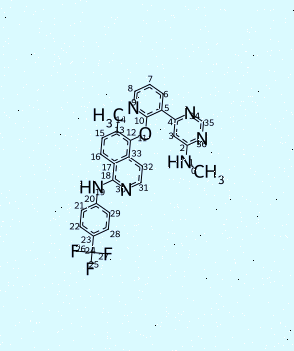 CNc1cc(-c2cccnc2Oc2c(C)ccc3c(Nc4ccc(C(F)(F)F)cc4)nccc23)ncn1